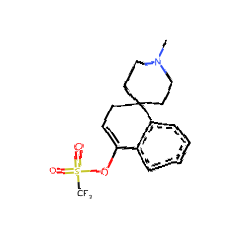 CN1CCC2(CC=C(OS(=O)(=O)C(F)(F)F)c3ccccc32)CC1